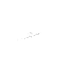 COCCCC1NC(=O)CN(CCCOC)C1=O